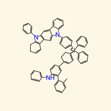 Cc1ccccc1-c1cc(C2=CC=C([Si](c3ccccc3)(c3ccccc3)c3ccc(-n4c5ccccc5c5cc6c(cc54)c4c(n6-c5ccccc5)CCC=C4)cc3)CC2)ccc1Nc1ccccc1